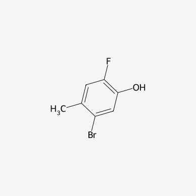 Cc1cc(F)c(O)cc1Br